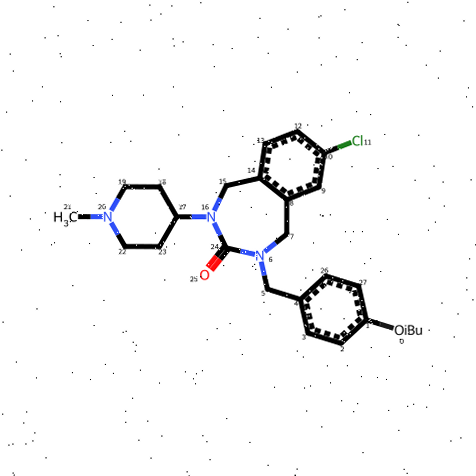 CC(C)COc1ccc(CN2Cc3cc(Cl)ccc3CN(C3CCN(C)CC3)C2=O)cc1